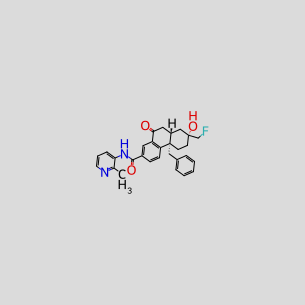 Cc1ncccc1NC(=O)c1ccc2c(c1)C(=O)C[C@@H]1C[C@@](O)(CF)CC[C@@]21Cc1ccccc1